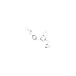 Cc1cnc(Nc2nc(CC(C)C)nc(Sc3ccc(NC(=O)C4CC4)cc3)n2)s1